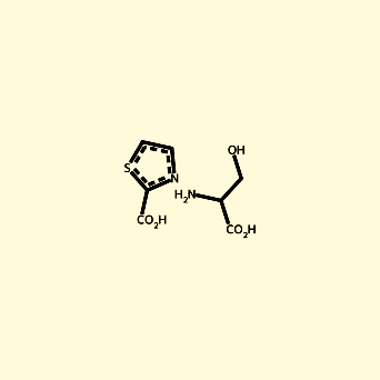 NC(CO)C(=O)O.O=C(O)c1nccs1